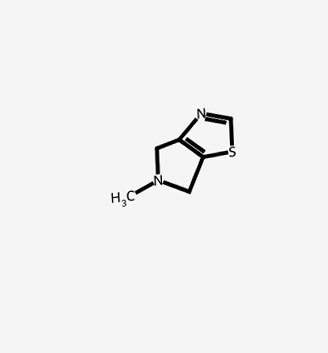 CN1Cc2ncsc2C1